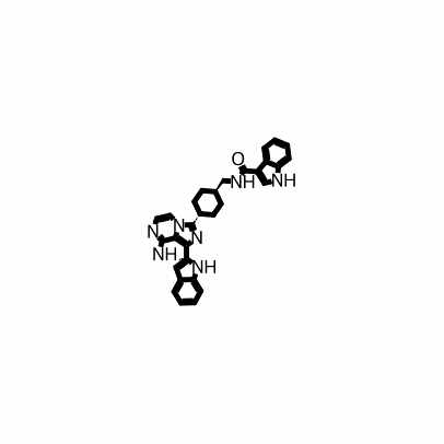 Nc1nccn2c1c(-c1cc3ccccc3[nH]1)nc2[C@H]1CC[C@H](CNC(=O)c2c[nH]c3ccccc23)CC1